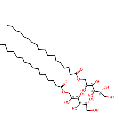 CCCCCCCCCCCCCCCC(=O)OC[C@H](O)[C@@H](O)[C@H](O)[C@H](O)CO.CCCCCCCCCCCCCCCCCC(=O)OC[C@H](O)[C@@H](O)[C@H](O)[C@H](O)CO